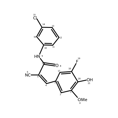 COc1cc(C=C(C#N)C(=O)Nc2cccc(Cl)c2)cc(F)c1O